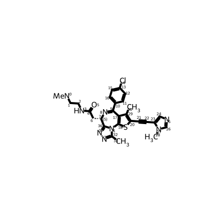 CNCCNC(=O)C[C@@H]1N=C(c2ccc(Cl)cc2)c2c(sc(C#Cc3cncn3C)c2C)-n2c(C)nnc21